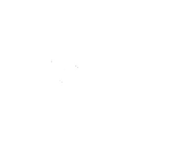 CCOC(=O)/C(F)=C/N1C(c2ccc(F)cc2)=CC(c2ccc(F)cc2)=NC1C(C)C